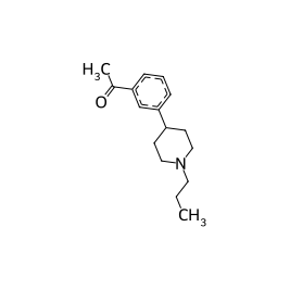 CCCN1CCC(c2cccc(C(C)=O)c2)CC1